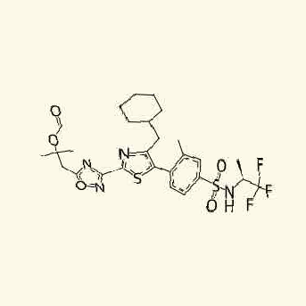 Cc1cc(S(=O)(=O)N[C@@H](C)C(F)(F)F)ccc1-c1sc(-c2noc(CC(C)(C)OC=O)n2)nc1CC1CCCCC1